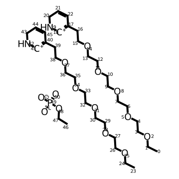 CCOCCOCCOCCOCCOCCC1=[C+]NCC=C1.CCOCCOCCOCCOCCOCCC1=[C+]NCC=C1.CCOP(=O)([O-])[O-]